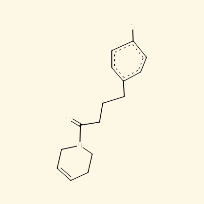 Nc1ccc(CCCC(=O)N2CC=CCC2)cc1